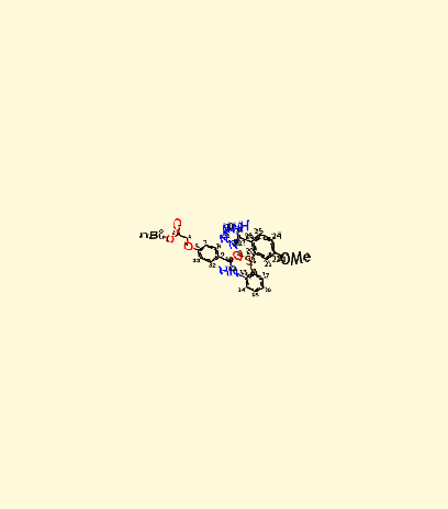 CCCCOC(=O)COc1ccc(C(=O)Nc2ccccc2Sc2cc(OC)ccc2-c2nnn[nH]2)cc1